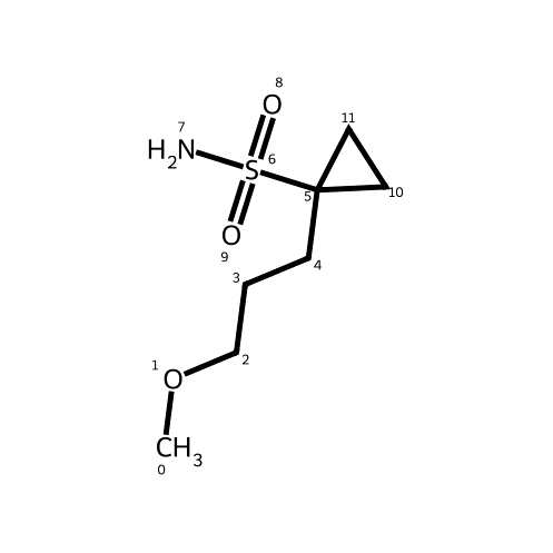 COCCCC1(S(N)(=O)=O)CC1